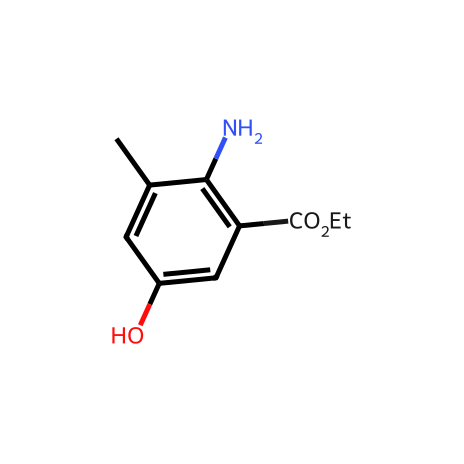 CCOC(=O)c1cc(O)cc(C)c1N